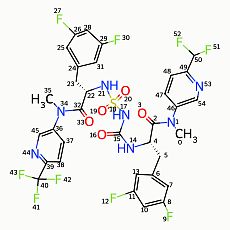 CN(C(=O)[C@H](Cc1cc(F)cc(F)c1)NC(=O)NS(=O)(=O)N[C@@H](Cc1cc(F)cc(F)c1)C(=O)N(C)c1ccc(C(F)(F)F)nc1)c1ccc(C(F)F)nc1